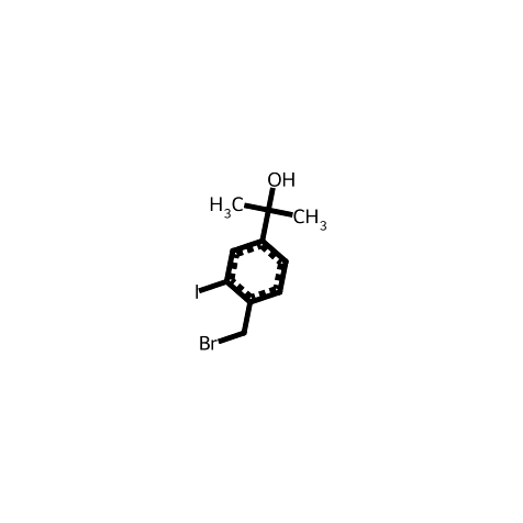 CC(C)(O)c1ccc(CBr)c(I)c1